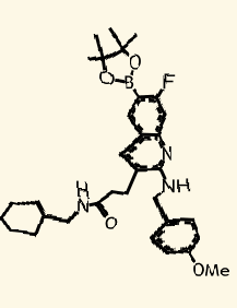 COc1ccc(CNc2nc3cc(F)c(B4OC(C)(C)C(C)(C)O4)cc3cc2CCC(=O)NCC2CCCCC2)cc1